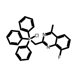 Cc1nc(CP(Cl)(c2ccccc2)(c2ccccc2)c2ccccc2)nc2c(F)cccc12